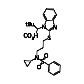 CC(C)(C)C(C(=O)O)n1c(SCCCN(C2CC2)S(=O)(=O)c2ccccc2)nc2ccccc21